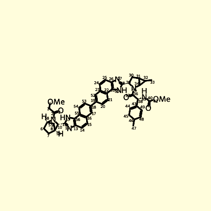 COCC(=O)N1[C@@H]2CC[C@@H](C2)[C@H]1c1nc2ccc3cc(-c4ccc5c(ccc6nc([C@@H]7CC8C(C)C8N7C(=O)[C@H](NC(=O)OC)C7=CCC(C)C=C7)[nH]c65)c4)ccc3c2[nH]1